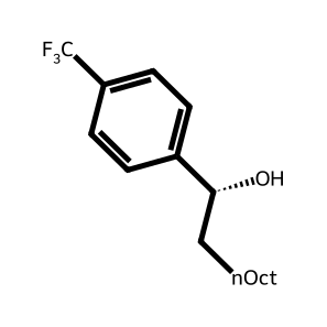 CCCCCCCCC[C@@H](O)c1ccc(C(F)(F)F)cc1